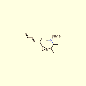 C=CC=CC(C)C1C[C@H]1C(C)C(C)N(C)NC